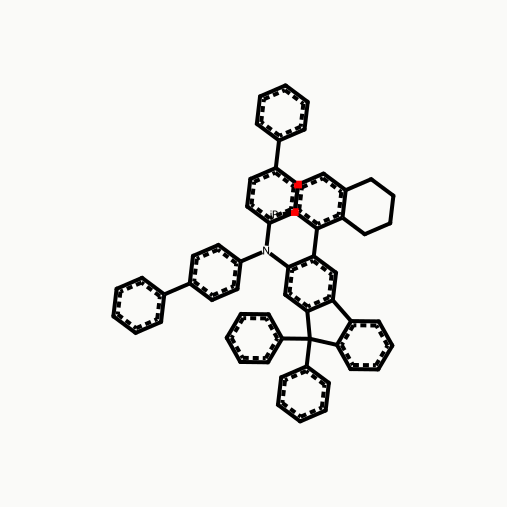 CC(C)c1ccc2c(c1-c1cc3c(cc1N(c1ccc(-c4ccccc4)cc1)c1ccc(-c4ccccc4)cc1)C(c1ccccc1)(c1ccccc1)c1ccccc1-3)CCCC2